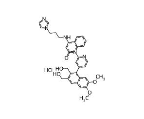 COc1cc2cc(CO)c(CO)c(-c3ccnc(-n4c(=O)cc(NCCCn5ccnc5)c5ccccc54)c3)c2cc1OC.Cl